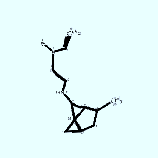 C=CN(CC)CCNC1C2C(C)CC3CC312